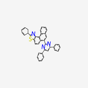 C1=CCC(c2nc3c(ccc4c(-c5nc(-c6ccccc6)cc(-c6ccccc6)n5)cc5ccccc5c43)s2)C=C1